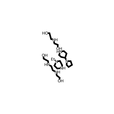 C1CCN(C2CCNCC2)C1.CCN1CCNCC1.OCCNCCNCCO.OCCNCCO